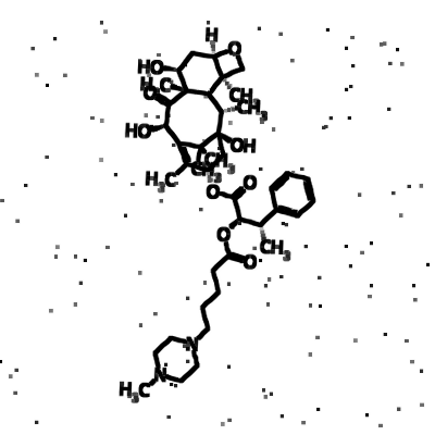 CC1=C2[C@@H](O)C(=O)[C@@]3(C)C([C@H](C)[C@](O)(C[C@@H]1OC(=O)[C@H](OC(=O)CCCCN1CCN(C)CC1)[C@@H](C)c1ccccc1)C2(C)C)[C@]1(C)CO[C@@H]1C[C@@H]3O